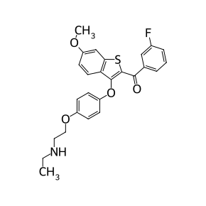 CCNCCOc1ccc(Oc2c(C(=O)c3cccc(F)c3)sc3cc(OC)ccc23)cc1